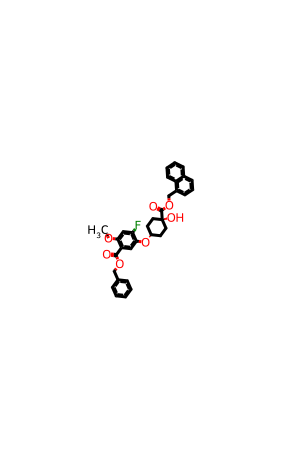 COc1cc(F)c(O[C@H]2CC[C@@](O)(C(=O)OCc3cccc4ccccc34)CC2)cc1C(=O)OCc1ccccc1